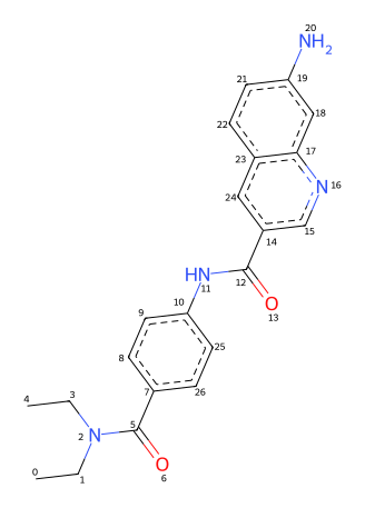 CCN(CC)C(=O)c1ccc(NC(=O)c2cnc3cc(N)ccc3c2)cc1